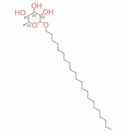 CCCCCCCCCCCCCCCCCCCCCCOC1O[C@@H](C)[C@H](O)[C@@H](O)[C@H]1O